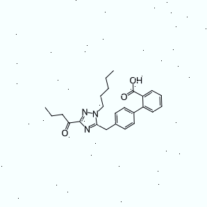 CCCCCn1nc(C(=O)CCC)nc1Cc1ccc(-c2ccccc2C(=O)O)cc1